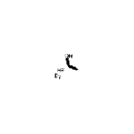 CCO.F.[Dy]